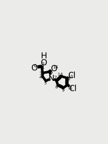 O=C(O)C1CCN(c2ccc(Cl)c(Cl)c2)C1=O